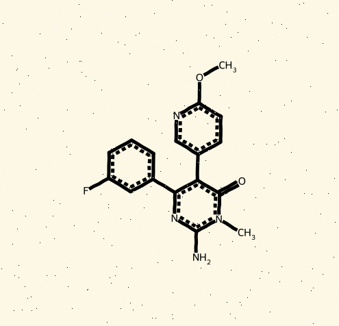 COc1ccc(-c2c(-c3cccc(F)c3)nc(N)n(C)c2=O)cn1